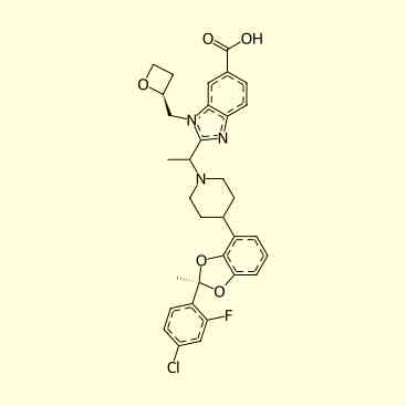 CC(c1nc2ccc(C(=O)O)cc2n1C[C@@H]1CCO1)N1CCC(c2cccc3c2O[C@](C)(c2ccc(Cl)cc2F)O3)CC1